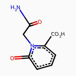 NC(=O)Cn1c(C(=O)O)cccc1=O